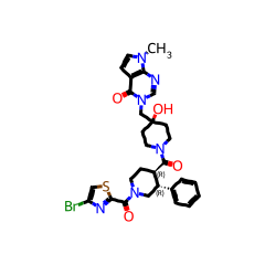 Cn1ccc2c(=O)n(CC3(O)CCN(C(=O)[C@@H]4CCN(C(=O)c5nc(Br)cs5)C[C@H]4c4ccccc4)CC3)cnc21